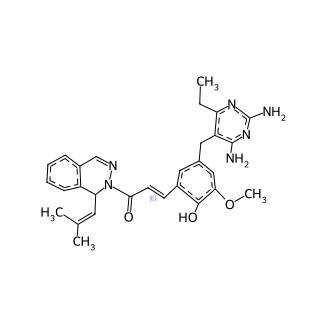 CCc1nc(N)nc(N)c1Cc1cc(/C=C/C(=O)N2N=Cc3ccccc3C2C=C(C)C)c(O)c(OC)c1